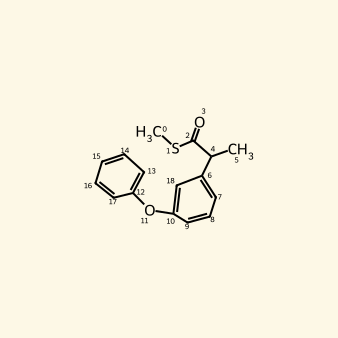 CSC(=O)C(C)c1cccc(Oc2ccccc2)c1